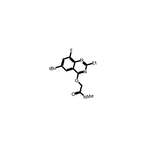 CCc1nc(OCC(=O)NC)c2cc(C(C)(C)C)cc(F)c2n1